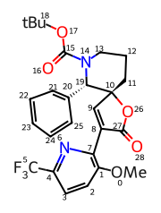 COc1ccc(C(F)(F)F)nc1C1=C[C@@]2(CCCN(C(=O)OC(C)(C)C)[C@H]2c2ccccc2)OC1=O